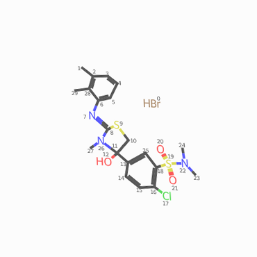 Br.Cc1cccc(N=C2SCC(O)(c3ccc(Cl)c(S(=O)(=O)N(C)C)c3)N2C)c1C